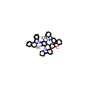 N#Cc1c(-n2c3ccccc3c3ccccc32)c(-c2ccc3oc4ccccc4c3c2)c(-n2c3ccccc3c3ccccc32)c(C#N)c1-n1c2ccccc2c2c3ccccc3ccc21